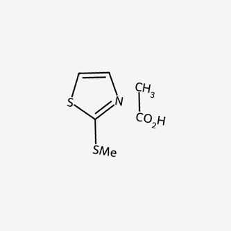 CC(=O)O.CSc1nccs1